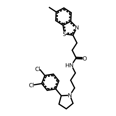 Cc1ccc2nc(CCC(=O)NCCCN3CCCC3c3ccc(Cl)c(Cl)c3)sc2c1